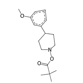 COc1cccc(C2CCN(OC(=O)C(C)(C)C)CC2)c1